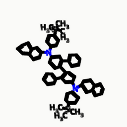 C[Si](C)(C)c1ccc(N(c2ccc(-c3ccc(N(c4ccc([Si](C)(C)C)cc4)c4ccc5ccccc5c4)cc3-c3ccccc3)c(-c3ccccc3)c2)c2ccc3ccccc3c2)cc1